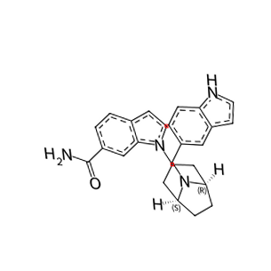 NC(=O)c1ccc2ccn(C3C[C@H]4CC[C@@H](C3)N4Cc3ccc4[nH]ccc4c3)c2c1